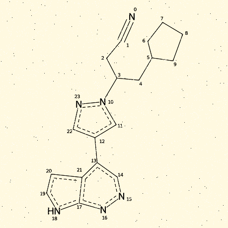 N#CCC(CC1CCCC1)n1cc(-c2cnnc3[nH]ccc23)cn1